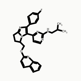 CC(C)CNc1nccc(-c2c(-c3ccc(F)cc3)nc3n2C(COc2ccc4ccccc4n2)CC3)n1